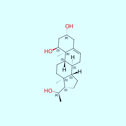 C[C@@H](O)[C@H]1CC[C@H]2[C@@H]3CC=C4C[C@@H](O)C[C@H](O)[C@]4(C)[C@H]3CC[C@]12C